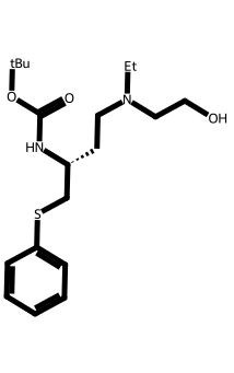 CCN(CCO)CC[C@H](CSc1ccccc1)NC(=O)OC(C)(C)C